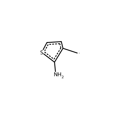 [CH2]c1ccsc1N